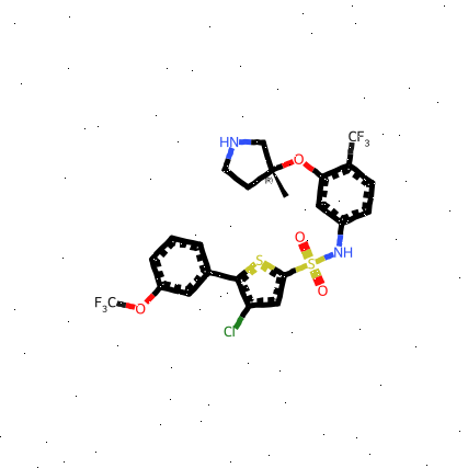 C[C@@]1(Oc2cc(NS(=O)(=O)c3cc(Cl)c(-c4cccc(OC(F)(F)F)c4)s3)ccc2C(F)(F)F)CCNC1